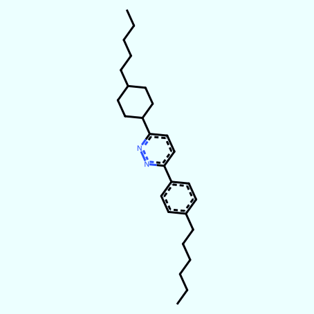 CCCCCCc1ccc(-c2ccc(C3CCC(CCCCC)CC3)nn2)cc1